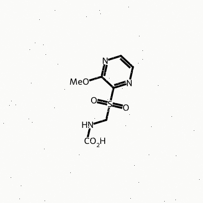 COc1nccnc1S(=O)(=O)CNC(=O)O